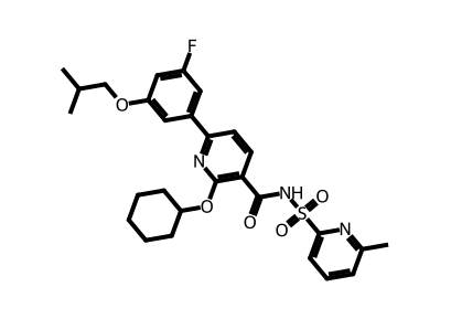 Cc1cccc(S(=O)(=O)NC(=O)c2ccc(-c3cc(F)cc(OCC(C)C)c3)nc2OC2CCCCC2)n1